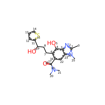 Cc1nc2c(O)c(CCC(O)c3cccs3)c(C(=O)N(C)C)cc2n1C